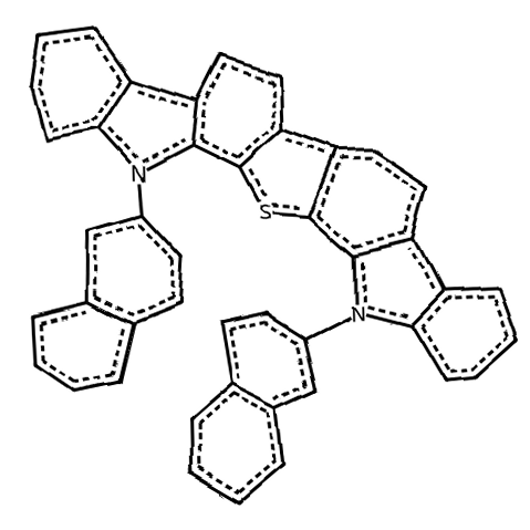 c1ccc2cc(-n3c4ccccc4c4ccc5c6ccc7c8ccccc8n(-c8ccc9ccccc9c8)c7c6sc5c43)ccc2c1